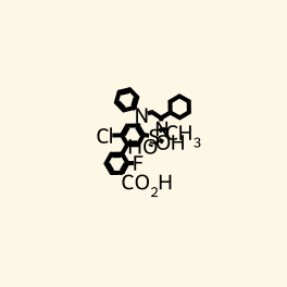 CN1C(C2CCCCC2)CN(c2ccccc2)c2cc(Cl)c(-c3cccc(C(=O)O)c3F)cc2S1(O)O